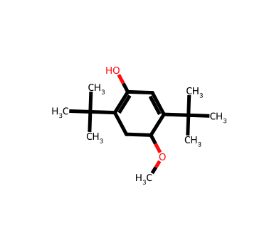 COC1CC(C(C)(C)C)=C(O)C=C1C(C)(C)C